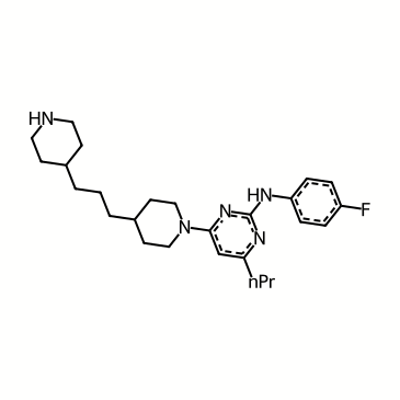 CCCc1cc(N2CCC(CCCC3CCNCC3)CC2)nc(Nc2ccc(F)cc2)n1